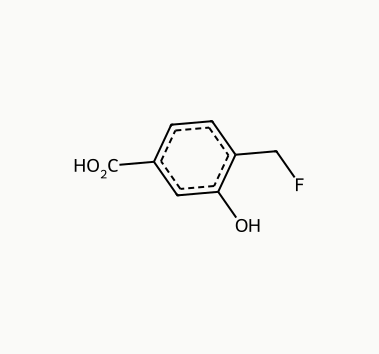 O=C(O)c1ccc(CF)c(O)c1